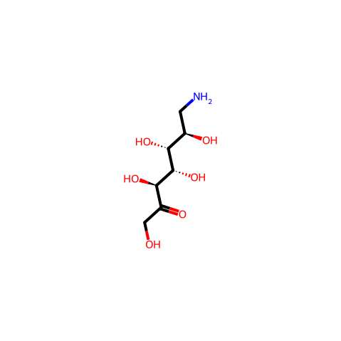 NC[C@@H](O)[C@@H](O)[C@H](O)[C@H](O)C(=O)CO